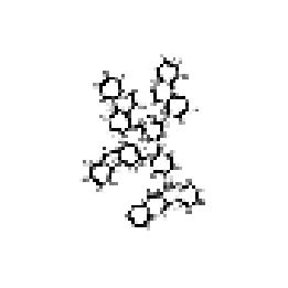 c1ccc2cc3c(cc2c1)c1ccccc1n3-c1ccc(-c2nc(-c3cccc4c3ccc3ccccc34)nc(-c3cccc4c3ccc3ccccc34)n2)c(-c2ccc3oc4ccccc4c3c2)c1